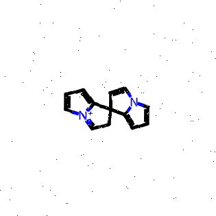 C1=C[N+]2=CCC3(C=Cn4cccc43)C2=C1